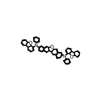 C1=CC2OC3C(N(c4ccccc4)c4ccc5c(c4)=CC4OC6C=c7cc(N(C8=CC=CC9C8OC8C=CC=CC89)c8ccccc8)ccc7=CC6C4C=5)=CC=CC3C2C=C1